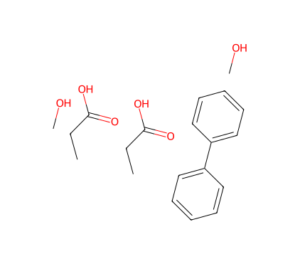 CCC(=O)O.CCC(=O)O.CO.CO.c1ccc(-c2ccccc2)cc1